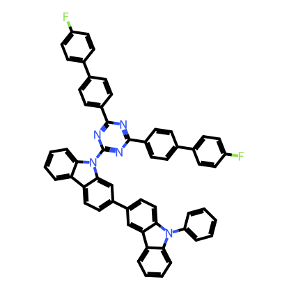 Fc1ccc(-c2ccc(-c3nc(-c4ccc(-c5ccc(F)cc5)cc4)nc(-n4c5ccccc5c5ccc(-c6ccc7c(c6)c6ccccc6n7-c6ccccc6)cc54)n3)cc2)cc1